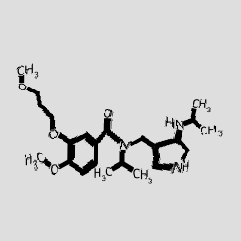 COCCCOc1cc(C(=O)N(CC2CNCC2NC(C)C)C(C)C)ccc1OC